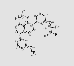 C[C@@H](O)CN1c2cccc(-c3cccc(OC(F)(F)F)c3)c2OC[C@@H]1C1C=C(OC(F)(F)C(F)F)C=CC1